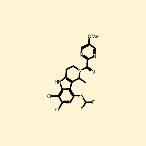 COc1cnc(C(=O)N2CCc3[nH]c4c(Cl)c(Cl)cc(SC(F)F)c4c3C2C)nc1